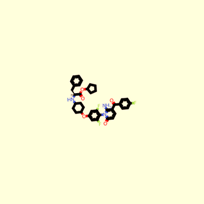 Nc1c(C(=O)c2ccc(F)cc2)ccc(=O)n1-c1c(F)cc(OC2CCC(N[C@@H](Cc3ccccc3)C(=O)OC3CCCC3)CC2)cc1F